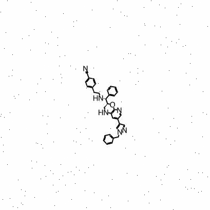 N#Cc1ccc(CCN[C@H](c2ccccc2)[C@@H]2CNc3cc(-c4cnn(Cc5ccccc5)c4)cnc3O2)cc1